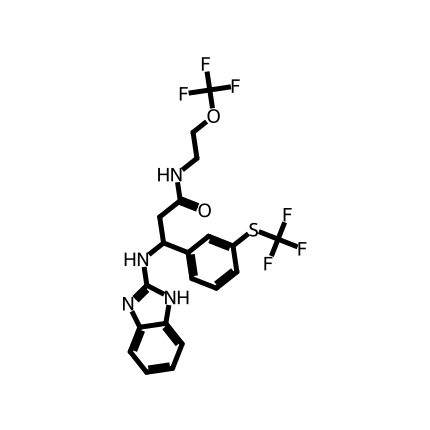 O=C(CC(Nc1nc2ccccc2[nH]1)c1cccc(SC(F)(F)F)c1)NCCOC(F)(F)F